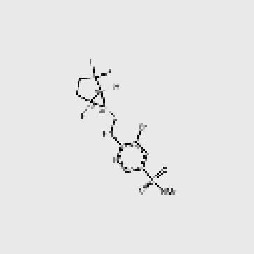 CNS(=O)(=O)c1cnc(NC[C@@H]2[C@H]3CCC(F)(F)[C@H]32)c(Br)c1